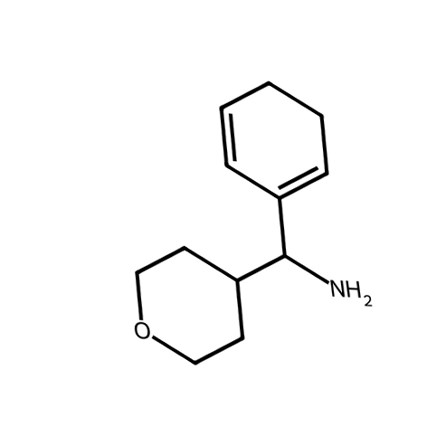 NC(C1=CCCC=C1)C1CCOCC1